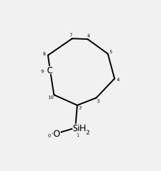 [O][SiH2]C1CCCCCCCC1